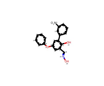 O=[N+]([O-])c1cccc(-c2cc(Oc3ccccc3)cc(C=NO)c2O)c1